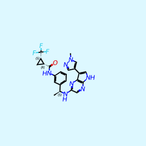 C[C@H](Nc1cnc2[nH]cc(-c3cnn(C)c3)c2n1)c1cccc(NC(=O)[C@@H]2C[C@@H]2C(F)(F)F)c1